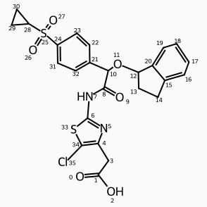 O=C(O)Cc1nc(NC(=O)C(OC2CCc3ccccc32)c2ccc(S(=O)(=O)C3CC3)cc2)sc1Cl